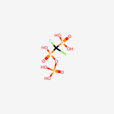 O=P(O)(O)OP(=O)(O)C(F)(F)P(=O)(O)O